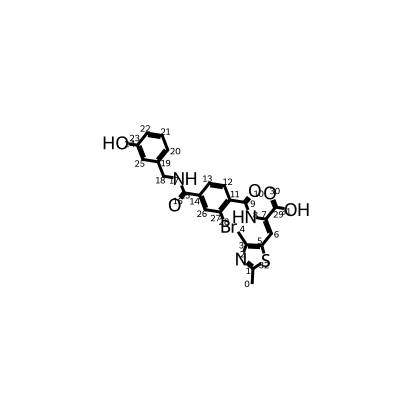 Cc1nc(C)c(C=C(NC(=O)c2ccc(C(=O)NCc3cccc(O)c3)cc2Br)C(=O)O)s1